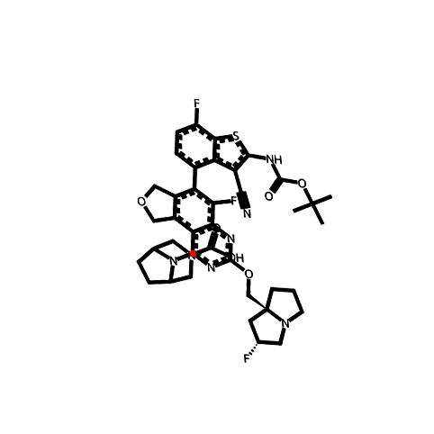 CC(C)(C)OC(=O)Nc1sc2c(F)ccc(-c3c4c(c5c(N6C7CCC6CN(C(=O)O)C7)nc(OC[C@@]67CCCN6C[C@H](F)C7)nc5c3F)COC4)c2c1C#N